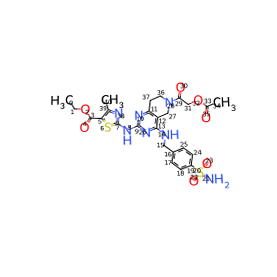 CCOC(=O)c1sc(Nc2nc3c(c(NCc4ccc(S(N)(=O)=O)cc4)n2)CN(C(=O)COC(C)=O)CC3)nc1C